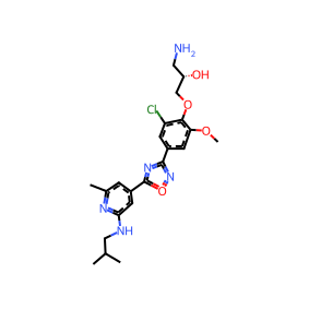 COc1cc(-c2noc(-c3cc(C)nc(NCC(C)C)c3)n2)cc(Cl)c1OC[C@@H](O)CN